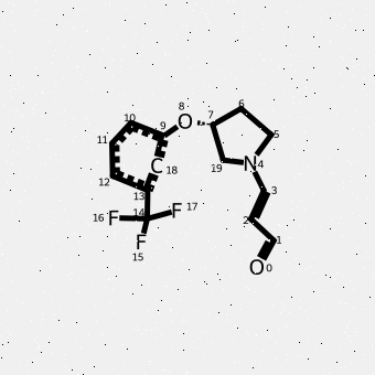 O=CC=CN1CC[C@@H](Oc2cccc(C(F)(F)F)c2)C1